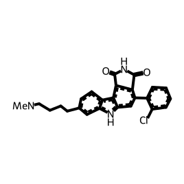 CNCCCCc1ccc2c(c1)[nH]c1cc(-c3ccccc3Cl)c3c(c12)C(=O)NC3=O